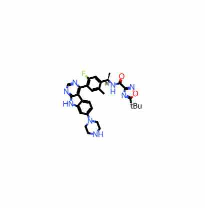 Cc1cc(-c2ncnc3[nH]c4cc(N5CCNCC5)ccc4c23)c(F)cc1[C@@H](C)NC(=O)c1noc(C(C)(C)C)n1